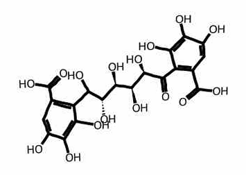 O=C(O)c1cc(O)c(O)c(O)c1C(=O)[C@H](O)[C@@H](O)[C@H](O)[C@H](O)C(O)c1c(C(=O)O)cc(O)c(O)c1O